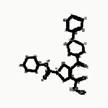 O=C(NO)C1=C(C(=O)N2CCN(c3ccccc3)CC2)CN(C(=O)OC2CCCCC2)C1